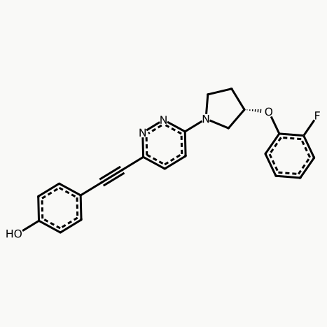 Oc1ccc(C#Cc2ccc(N3CC[C@H](Oc4ccccc4F)C3)nn2)cc1